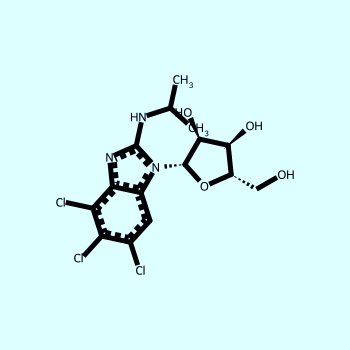 CC(C)Nc1nc2c(Cl)c(Cl)c(Cl)cc2n1[C@H]1O[C@@H](CO)[C@H](O)[C@@H]1O